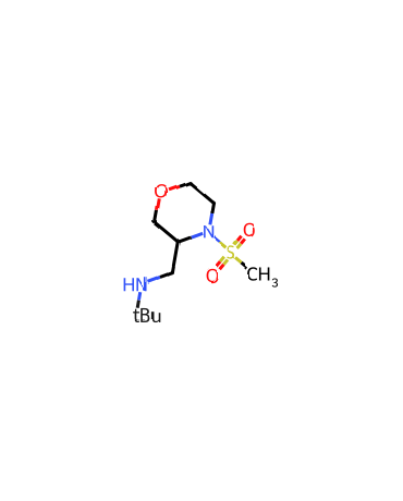 CC(C)(C)NCC1COCCN1S(C)(=O)=O